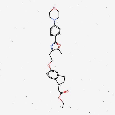 CCOC(=O)C[C@@H]1CCc2cc(OCCc3nc(-c4ccc(N5CCOCC5)cc4)oc3C)ccc21